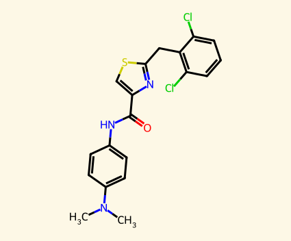 CN(C)c1ccc(NC(=O)c2csc(Cc3c(Cl)cccc3Cl)n2)cc1